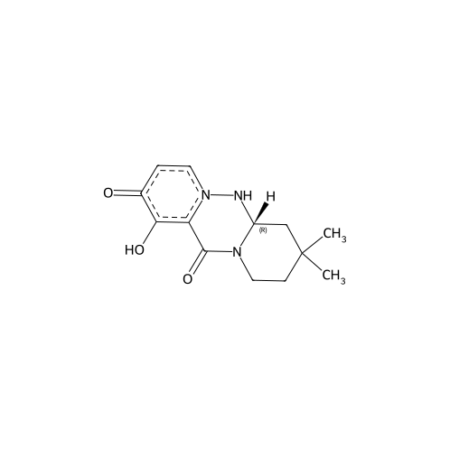 CC1(C)CCN2C(=O)c3c(O)c(=O)ccn3N[C@@H]2C1